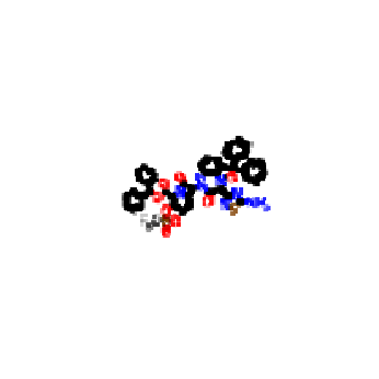 Nc1nc(C(=NOC(c2ccccc2)(c2ccccc2)c2ccccc2)C(=O)NC2C(=O)N3C(C(=O)OC(c4ccccc4)c4ccccc4)=C(OS(=O)(=O)C(F)(F)F)CCC23)ns1